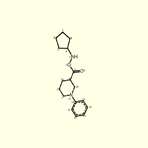 O=C(ONC1CCCC1)C1CCCN(c2ccccc2)C1